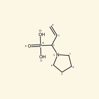 C=CC(N1CCCC1)P(=O)(O)O